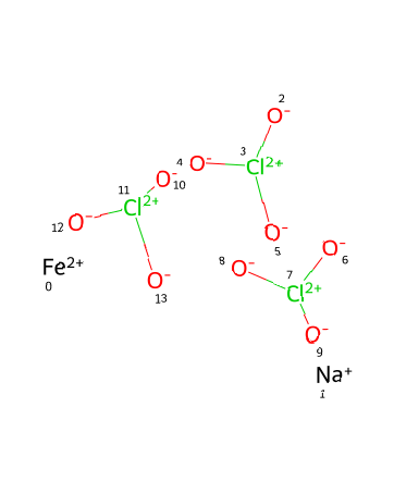 [Fe+2].[Na+].[O-][Cl+2]([O-])[O-].[O-][Cl+2]([O-])[O-].[O-][Cl+2]([O-])[O-]